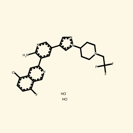 Cl.Cl.Nc1ncc(-c2cnn(C3CCN(CC(F)(F)F)CC3)c2)cc1-c1cc2c(Cl)ccc(F)c2cn1